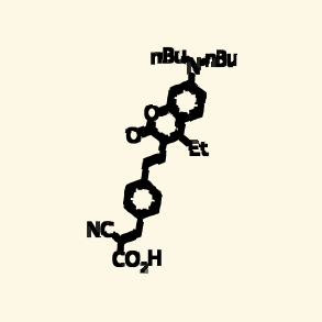 CCCCN(CCCC)c1ccc2c(CC)c(/C=C/c3ccc(/C=C(\C#N)C(=O)O)cc3)c(=O)oc2c1